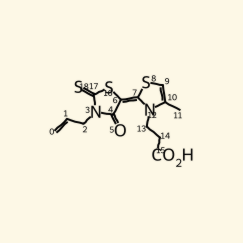 C=CCN1C(=O)/C(=C2/SC=C(C)N2CCC(=O)O)SC1=S